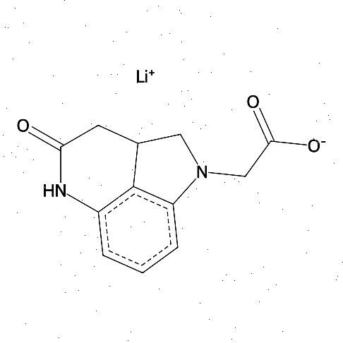 O=C([O-])CN1CC2CC(=O)Nc3cccc1c32.[Li+]